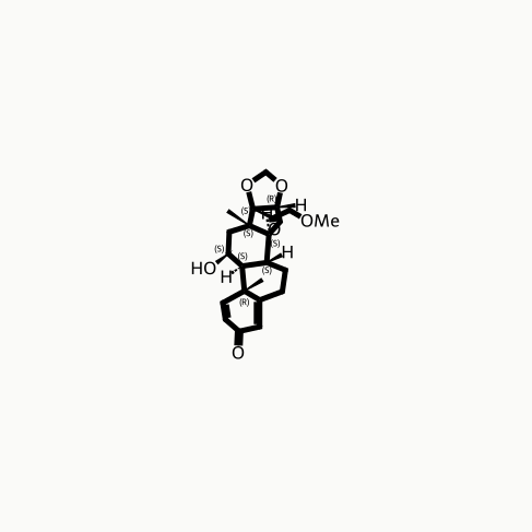 COCC(=O)[C@@]12OCO[C@@H]1C[C@H]1[C@@H]3CCC4=CC(=O)C=C[C@]4(C)[C@H]3[C@@H](O)C[C@@]12C